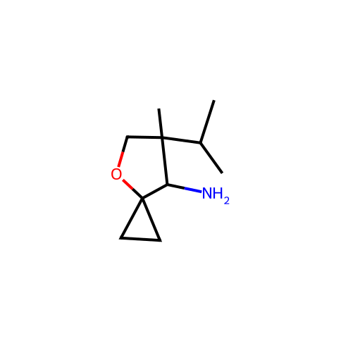 CC(C)C1(C)COC2(CC2)C1N